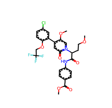 COCCC(C(=O)Nc1ccc(C(=O)OC)cc1)n1cc(OC)c(-c2cc(Cl)ccc2OCC(F)(F)F)cc1=O